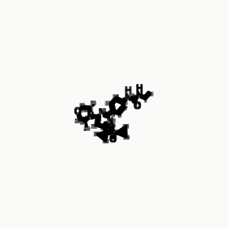 CCNC(=O)Nc1ccc(-c2nc(N3[C@@H](C)COC[C@@H]3C)cc(C3(S(=O)(=O)C4CC4)CC3)n2)cc1